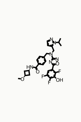 CO[C@H]1C[C@H](NC(=O)c2ccc(CN(Cc3ccnn3C(C)C)c3noc(-c4cc(F)c(F)c(O)c4F)n3)cc2)C1